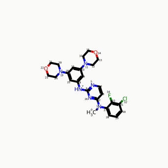 CN(c1ccnc(Nc2cc(N3CCOCC3)cc(N3CCOCC3)c2)n1)c1cccc(Cl)c1F